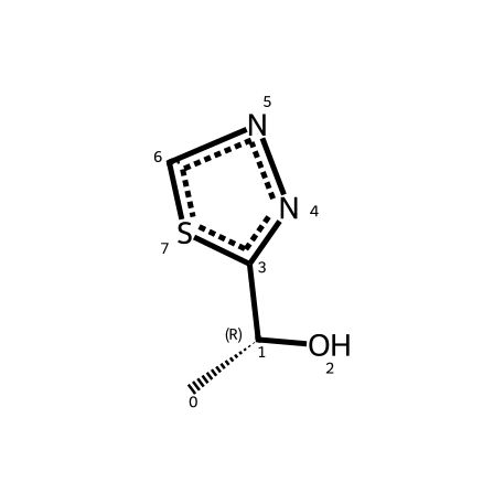 C[C@@H](O)c1nn[c]s1